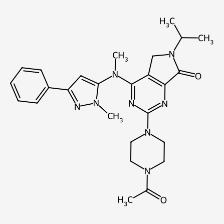 CC(=O)N1CCN(c2nc3c(c(N(C)c4cc(-c5ccccc5)nn4C)n2)CN(C(C)C)C3=O)CC1